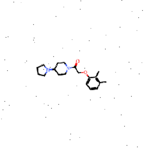 Cc1cccc(OCC(=O)N2CCC(N3CCCC3)CC2)c1C